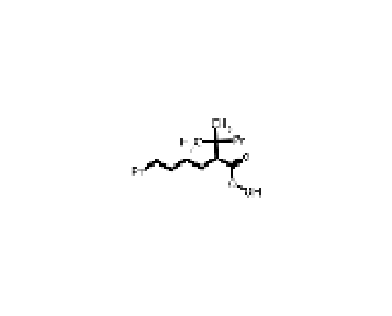 CC(C)CCCCC(C(=O)OO)C(C)(C)C(C)C